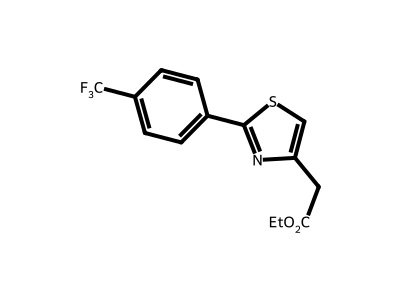 CCOC(=O)Cc1csc(-c2ccc(C(F)(F)F)cc2)n1